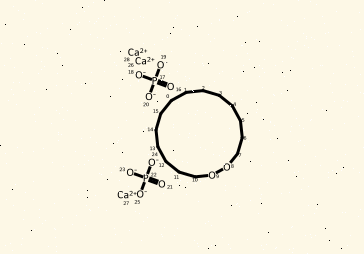 C1CCCCCCCOOCCCCCC1.O=P([O-])([O-])[O-].O=P([O-])([O-])[O-].[Ca+2].[Ca+2].[Ca+2]